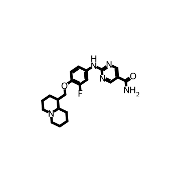 NC(=O)c1cnc(Nc2ccc(OCC3CCCN4CCCCC34)c(F)c2)nc1